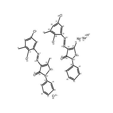 Cc1cc(Cl)cc(N=Nc2c(C)[n-]n(-c3ccccc3)c2=O)c1[O-].Cc1cc(Cl)cc(N=Nc2c(C)[n-]n(-c3ccccc3)c2=O)c1[O-].[Cr+3].[H+].[Na+].[Na+]